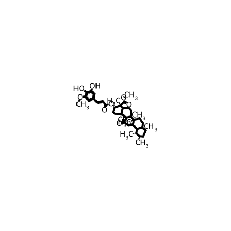 COC(=O)[C@]1(C)C2CC[C@]3(C)C(C(=O)C=C4C5[C@@H](C)[C@H](C)CC[C@]5(C)CC[C@]43C)[C@@]2(C)CC[C@H]1OC(=O)/C=C/c1cc(O)c(O)c(OC)c1